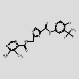 Cc1c(N)ncnc1C(=O)NCc1ncc(C(=O)Nc2cc(C(F)(F)P)c(Cl)cn2)s1